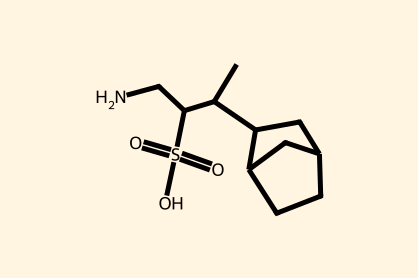 CC(C1CC2CCC1C2)C(CN)S(=O)(=O)O